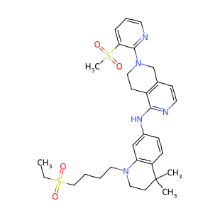 CCS(=O)(=O)CCCCN1CCC(C)(C)c2ccc(Nc3nccc4c3CCN(c3ncccc3S(C)(=O)=O)C4)cc21